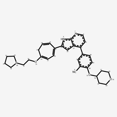 N#Cc1cc(-c2ccnc3[nH]c(C4=CC=C(OCCN5CCCC5)CC=C4)cc23)ccc1OC1CCOCC1